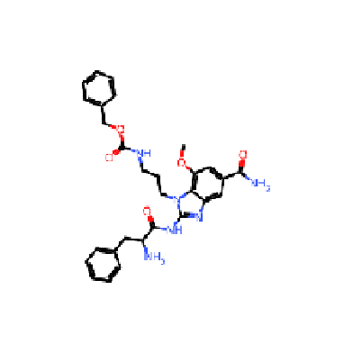 COc1cc(C(N)=O)cc2nc(NC(=O)C(N)Cc3ccccc3)n(CCCNC(=O)OCc3ccccc3)c12